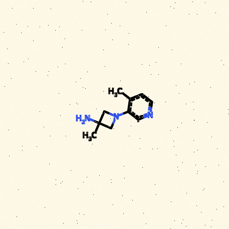 Cc1ccn[c]c1N1CC(C)(N)C1